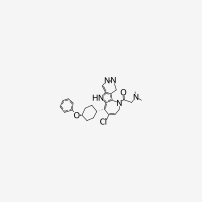 CN(C)CC(=O)N1CC=C(Cl)C([C@H]2CC[C@H](Oc3ccccc3)CC2)=c2[nH]c3c(c21)CN=NC=3